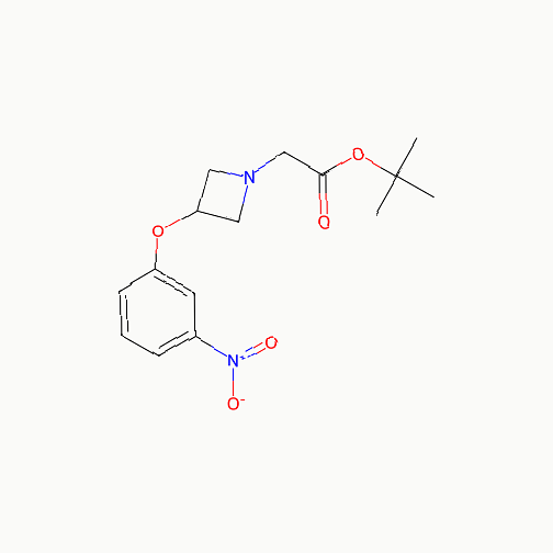 CC(C)(C)OC(=O)CN1CC(Oc2cccc([N+](=O)[O-])c2)C1